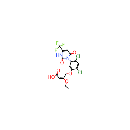 CCO/C(=C/C(=O)O)COc1cc(-n2c(=O)cc(C(F)(F)F)[nH]c2=O)c(Cl)cc1Cl